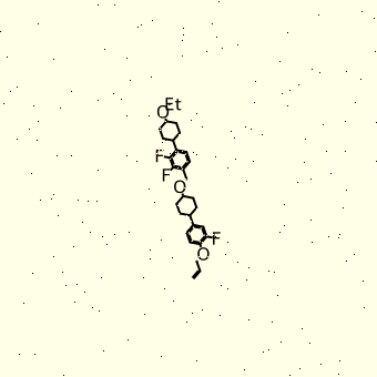 C=CCOc1ccc(C2CCC(OCc3ccc(C4CCC(OCC)CC4)c(F)c3F)CC2)cc1F